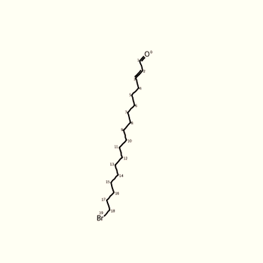 O=C/C=C/CCCCCCCCCCCCCCCBr